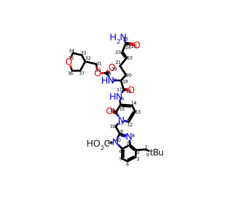 CC(C)(C)Cc1cccc2c1nc(Cn1cccc(NC(=O)C(CC/C=C/C(N)=O)NC(=O)OCC3CCOCC3)c1=O)n2C(=O)O